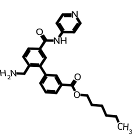 CCCCCCOC(=O)c1cccc(-c2cc(C(=O)Nc3ccncc3)ccc2CN)c1